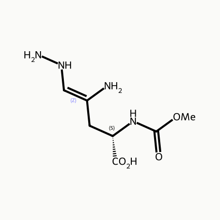 COC(=O)N[C@@H](C/C(N)=C/NN)C(=O)O